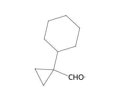 O=[C]C1(C2CCCCC2)CC1